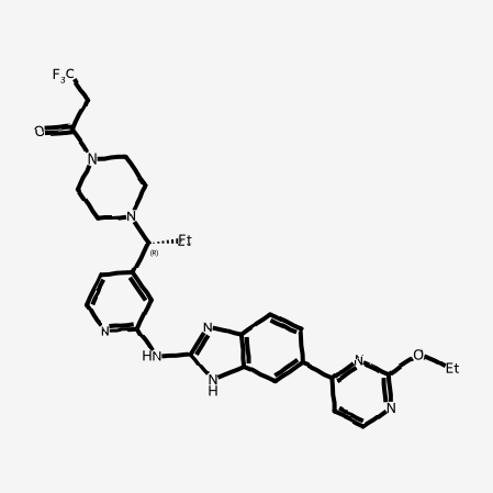 CCOc1nccc(-c2ccc3nc(Nc4cc([C@@H](CC)N5CCN(C(=O)CC(F)(F)F)CC5)ccn4)[nH]c3c2)n1